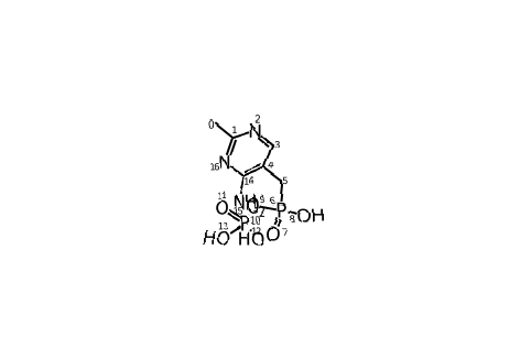 Cc1ncc(CP(=O)(O)OP(=O)(O)O)c(N)n1